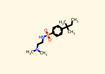 CCC(C)(C)c1ccc(S(=O)(=O)NCCN(C)C)cc1